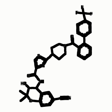 CC1(C)Oc2ccc(C#N)cc2C(NC(=O)c2csc(C3CCN(C(=O)c4ccccc4-c4ccc(C(F)(F)F)cc4)CC3)n2)C1O